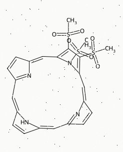 CS(=O)(=O)c1c(S(C)(=O)=O)c2cc3nc(cc4ccc(cc5nc(cc1n2S(C)(=O)=O)C=C5)[nH]4)C=C3